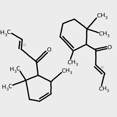 C/C=C/C(=O)C1C(C)=CCCC1(C)C.C/C=C/C(=O)C1C(C)C=CCC1(C)C